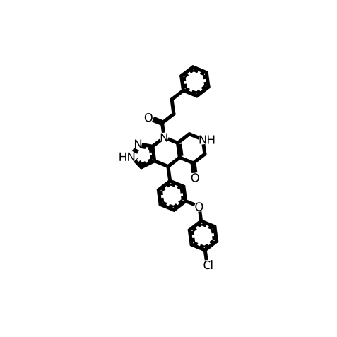 O=C1CNCC2=C1C(c1cccc(Oc3ccc(Cl)cc3)c1)c1c[nH]nc1N2C(=O)CCc1ccccc1